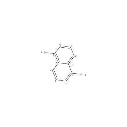 Ic1cccc2c(I)cccc12